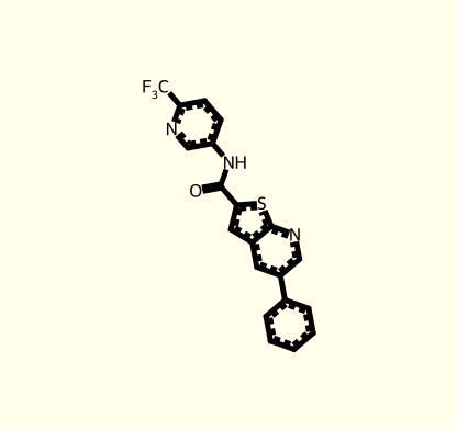 O=C(Nc1ccc(C(F)(F)F)nc1)c1cc2cc(-c3ccccc3)cnc2s1